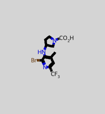 Cc1cc(C(F)(F)F)nc(Br)c1NC1CCN(C(=O)O)C1